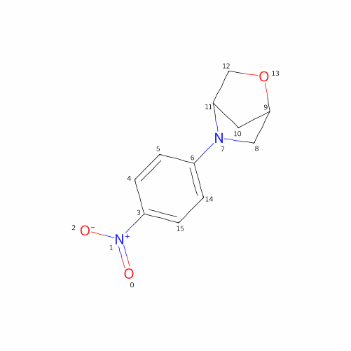 O=[N+]([O-])c1ccc(N2CC3CC2CO3)cc1